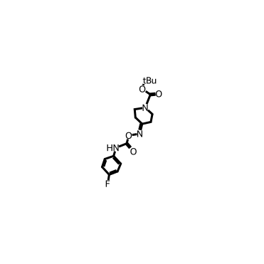 CC(C)(C)OC(=O)N1CCC(=NOC(=O)Nc2ccc(F)cc2)CC1